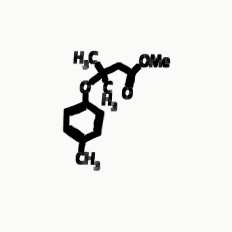 COC(=O)CC(C)(C)Oc1ccc(C)cc1